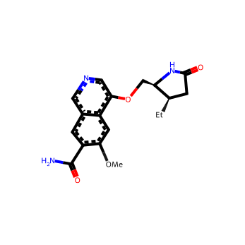 CC[C@@H]1CC(=O)N[C@@H]1COc1cncc2cc(C(N)=O)c(OC)cc12